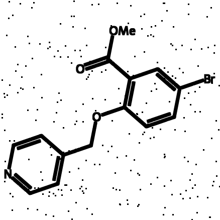 COC(=O)c1cc(Br)ccc1OCc1ccncc1